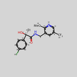 CC[C@](O)(C(=O)NCc1cc(C(F)(F)F)cnc1OC)c1ccc(F)cc1